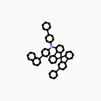 c1ccc(-c2ccc(N(c3ccc(-c4cccc5ccccc45)cc3)c3cccc4c3-c3ccccc3C43c4ccccc4-c4ccc(-c5ccccc5)cc43)cc2)cc1